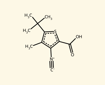 [C-]#[N+]c1c(C(=O)O)sc(C(C)(C)C)c1C